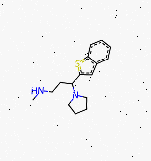 CNCCC(c1cc2ccccc2s1)N1CCCC1